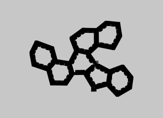 c1ccc2c(c1)ccc1c2c2ccc3ccccc3c2n2c3ccccc3nc12